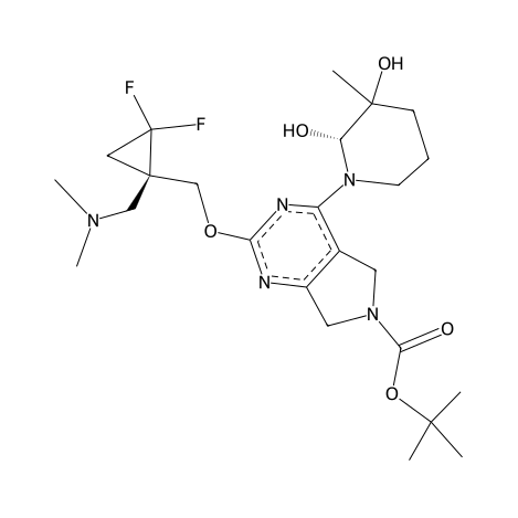 CN(C)C[C@@]1(COc2nc3c(c(N4CCCC(C)(O)[C@H]4O)n2)CN(C(=O)OC(C)(C)C)C3)CC1(F)F